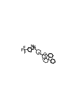 O=C(CN1CCCC(c2ccccc2)(c2ccccc2)C1=O)N1CCC(n2nnc3cc(C(F)(F)F)ccc32)CC1